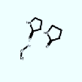 CCOCC.O=C1CCCN1.O=C1CCCN1